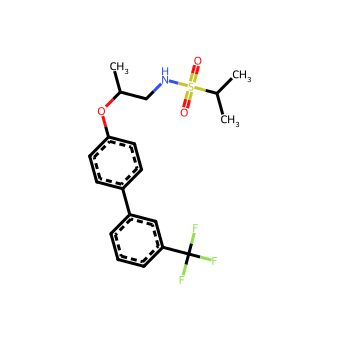 CC(CNS(=O)(=O)C(C)C)Oc1ccc(-c2cccc(C(F)(F)F)c2)cc1